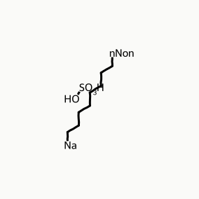 CCCCCCCCCCCCCCCC[CH2][Na].O=S(=O)(O)O